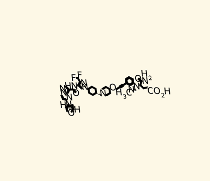 CN1CN(C(CCC(=O)O)C(N)=O)c2cccc(C#CCOC3CCN(C[C@H]4CC[C@H](n5cc(NC(=O)c6cnn7ccc(N8C[C@H]9C[C@@H]8CO9)nc67)c(C(F)F)n5)CC4)CC3)c21